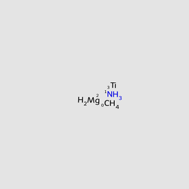 C.N.[MgH2].[Ti]